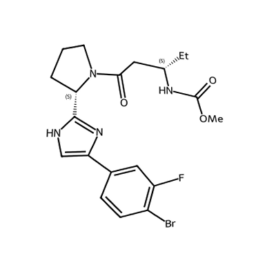 CC[C@@H](CC(=O)N1CCC[C@H]1c1nc(-c2ccc(Br)c(F)c2)c[nH]1)NC(=O)OC